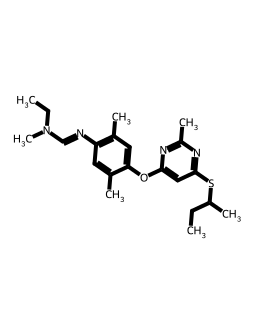 CCC(C)Sc1cc(Oc2cc(C)c(N=CN(C)CC)cc2C)nc(C)n1